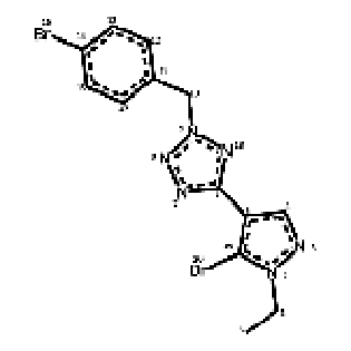 CCn1ncc(-c2nnn(Cc3ccc(Br)cc3)n2)c1Br